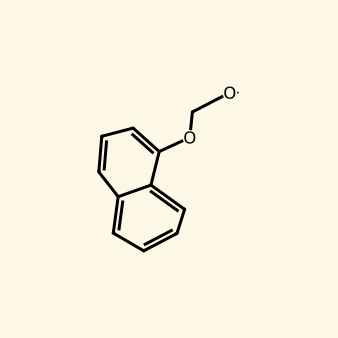 [O]COc1cccc2ccccc12